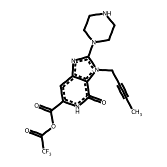 CC#CCn1c(N2CCNCC2)nc2cc(C(=O)OC(=O)C(F)(F)F)[nH]c(=O)c21